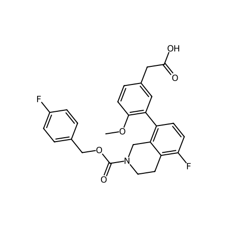 COc1ccc(CC(=O)O)cc1-c1ccc(F)c2c1CN(C(=O)OCc1ccc(F)cc1)CC2